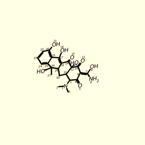 CN(C)C1C(=O)C(=C(N)O)C(=O)C2(O)C(=O)C3=C(O)c4c(O)cccc4C(C)(O)C3CC12